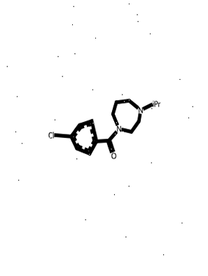 CC(C)N1CCCN(C(=O)c2ccc(Cl)cc2)CC1